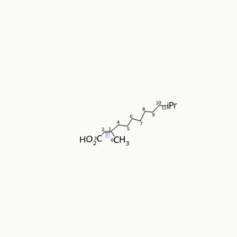 C/C(=C\C(=O)O)CCCCCCCC(C)C